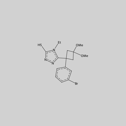 CCn1c(S)nnc1C1(c2cccc(Br)c2)CC(OC)(OC)C1